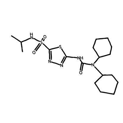 CC(C)NS(=O)(=O)c1nnc(NC(=O)N(C2CCCCC2)C2CCCCC2)s1